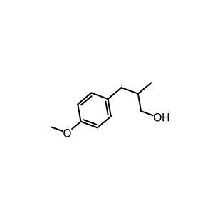 COc1ccc([CH]C(C)CO)cc1